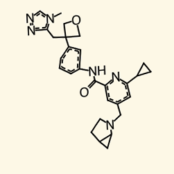 Cn1cnnc1CC1(c2cccc(NC(=O)c3cc(CN4CCC5CC54)cc(C4CC4)n3)c2)COC1